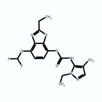 CCc1nc2c(OC(F)F)ccc(OC(=O)Nc3c(C)cnn3CC)c2o1